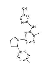 Cc1ccc(C2CCCN2c2cnc(C)c(Nc3ncc(C#N)s3)n2)cc1